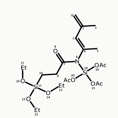 C=C(C)C=C(C)N(C(=O)CC[Si](OCC)(OCC)OCC)[Si](OC(C)=O)(OC(C)=O)OC(C)=O